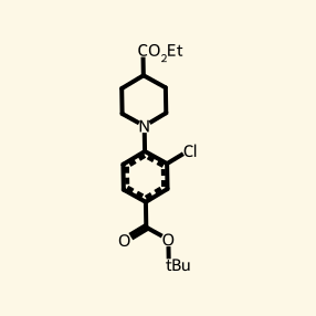 CCOC(=O)C1CCN(c2ccc(C(=O)OC(C)(C)C)cc2Cl)CC1